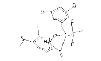 C=C(CC(ON)(c1cc(Cl)cc(Cl)c1)C(F)(F)F)c1ccc(SC)c(C)c1